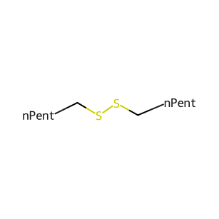 CCCCCCSSCCCCCC